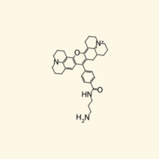 NCCCNC(=O)c1ccc(C2=C3CC4CCC[N+]5=C4C(=C3Oc3c2cc2c4c3CCCN4CCC2)CCC5)cc1